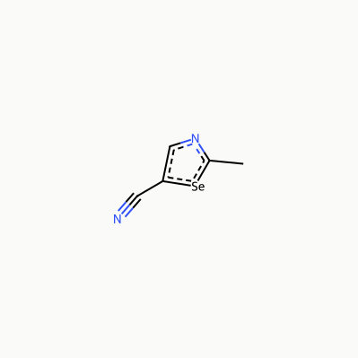 Cc1ncc(C#N)[se]1